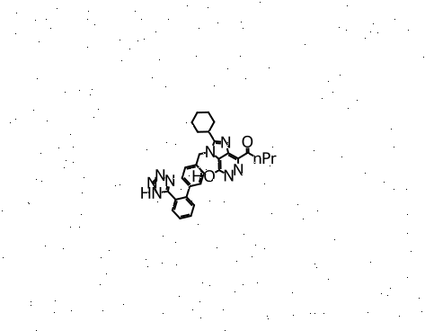 CCCC(=O)c1nnc(O)c2c1nc(C1CCCCC1)n2Cc1ccc(-c2ccccc2-c2nnn[nH]2)cc1